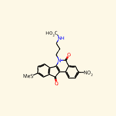 CSc1ccc2c(c1)C(=O)c1c-2n(CCCNC(=O)O)c(=O)c2cc([N+](=O)[O-])ccc12